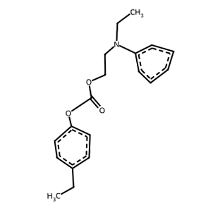 CCc1ccc(OC(=O)OCCN(CC)c2ccccc2)cc1